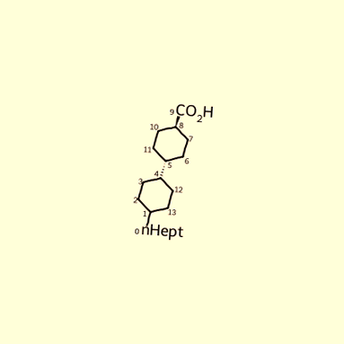 CCCCCCCC1CCC([C@H]2CC[C@H](C(=O)O)CC2)CC1